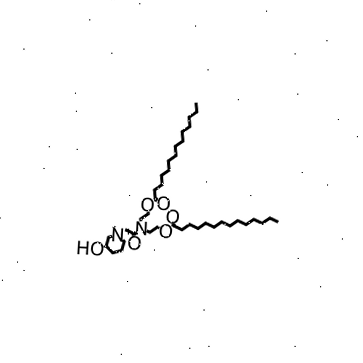 CCCCCCCCCCCCCC(=O)OCCN(CCOC(=O)CCCCCCCCCCCCC)C(=O)C[N+]1(C)CCC[C@H](O)C1